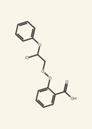 O=C(O)c1ccccc1OOCC(Cl)Oc1ccccc1